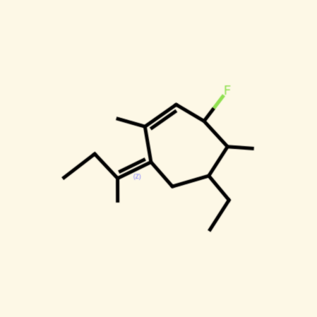 CC/C(C)=C1/CC(CC)C(C)C(F)C=C1C